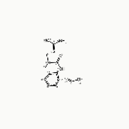 CN(C)C(O)=S.NC(O)=S.O=CO.c1ccccc1